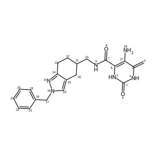 C=C1NC(=O)NC(C(=O)NCC2CCc3nn(Cc4ccccc4)cc3C2)=C1N